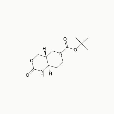 CC(C)(C)OC(=O)N1CC[C@H]2NC(=O)OC[C@@H]2C1